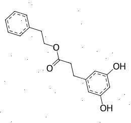 O=C(CCc1cc(O)cc(O)c1)OCCc1ccccc1